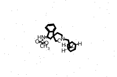 CS(=O)(=O)N[C@@H]1CC2(CCN(C[C@H]3C[C@H]4CC[C@H]3CC4)CC2)c2ccccc21